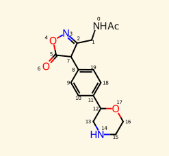 CC(=O)NCC1=NOC(=O)C1c1ccc(C2CNCCO2)cc1